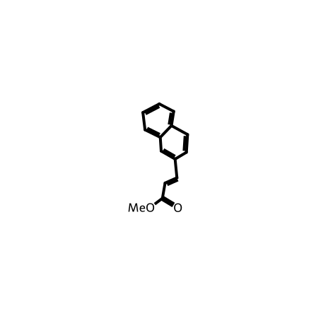 COC(=O)C=Cc1ccc2ccccc2c1